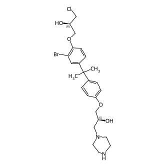 CC(C)(c1ccc(OC[C@@H](O)CN2CCNCC2)cc1)c1ccc(OC[C@@H](O)CCl)c(Br)c1